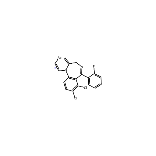 C=C1CN=C(c2ccccc2F)c2c(ccc(Cl)c2Cl)N1/C=C\C(C)=O